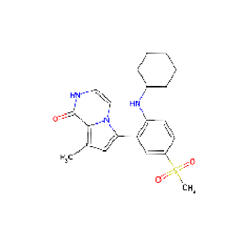 Cc1cc(-c2cc(S(C)(=O)=O)ccc2NC2CCCCC2)n2cc[nH]c(=O)c12